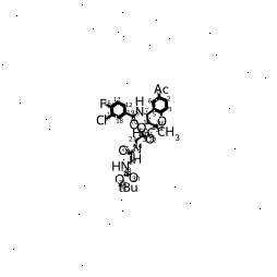 CC(=O)c1ccc2c(c1)[C@@H](NC(=O)c1ccc(F)c(Cl)c1)[C@H](OC(=O)CNC(=O)CNC(=O)OC(C)(C)C)C(C)(C)O2